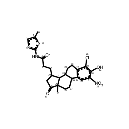 Cc1cnc(NC(=O)CCC2CC(=O)C3(C)CCC4c5cc([N+](=O)[O-])c(O)c(Cl)c5CCC4C23)s1